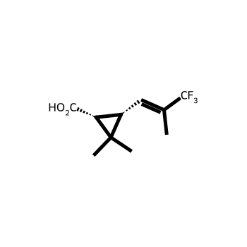 C/C(=C\[C@H]1[C@@H](C(=O)O)C1(C)C)C(F)(F)F